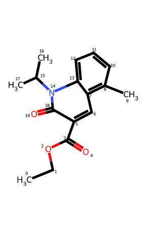 CCOC(=O)c1cc2c(C)cccc2n(C(C)C)c1=O